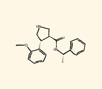 COc1ccccc1[C@@H]1CNC[C@H]1C(=O)N[C@@H](C)c1ccccc1